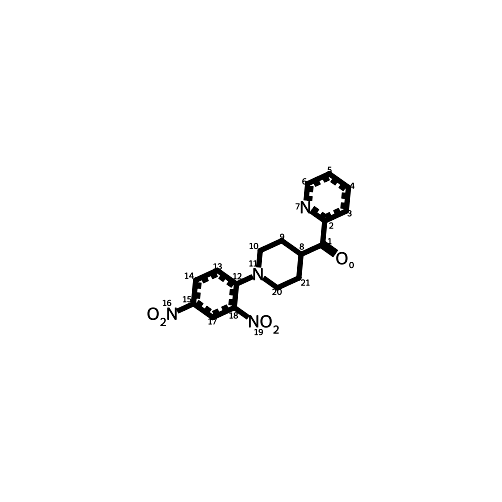 O=C(c1ccccn1)C1CCN(c2ccc([N+](=O)[O-])cc2[N+](=O)[O-])CC1